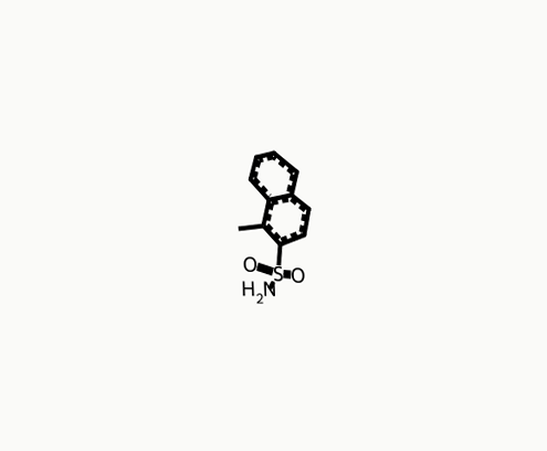 Cc1c(S(N)(=O)=O)ccc2ccccc12